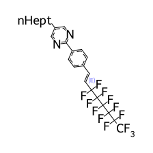 CCCCCCCc1cnc(-c2ccc(/C=C/C(F)(F)C(F)(F)C(F)(F)C(F)(F)C(F)(F)C(F)(F)F)cc2)nc1